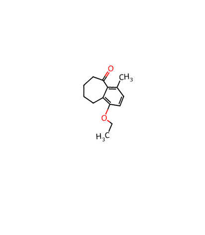 CCOc1ccc(C)c2c1CCCCC2=O